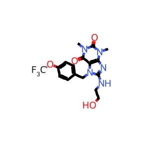 Cn1c(=O)c2c(nc(NCCO)n2Cc2ccc(OC(F)(F)F)cc2)n(C)c1=O